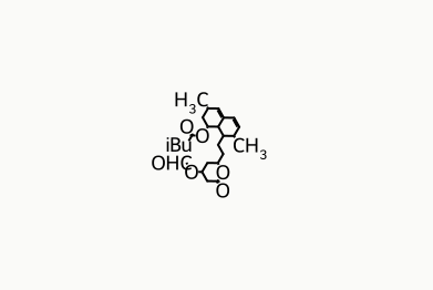 CCC(C)C(=O)OC1CC(C)C=C2C=CC(C)C(CCC3CC(OC=O)CC(=O)O3)C21